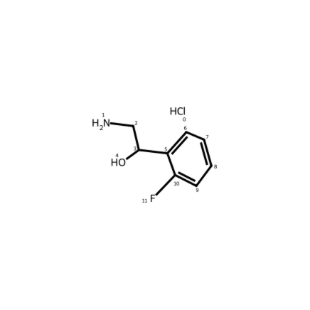 Cl.NCC(O)c1ccccc1F